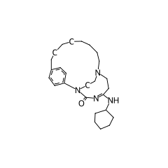 O=C1/N=C(/NC2CCCCC2)CCN2CCCCCCCCc3ccc(cc3)N1CC2